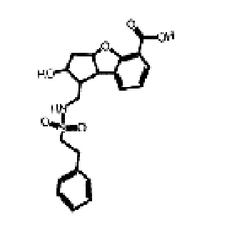 O=C(O)c1cccc2c1OC1CC(O)C(CNS(=O)(=O)CCc3ccccc3)C21